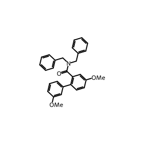 COc1cccc(-c2ccc(OC)cc2C(=O)N(Cc2ccccc2)Cc2ccccc2)c1